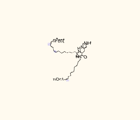 CCCCC/C=C\C/C=C\CCCCCCCC(=O)NC(Cc1c[nH]cn1)C(=O)NCCCCCCCC/C=C\CCCCCCCC